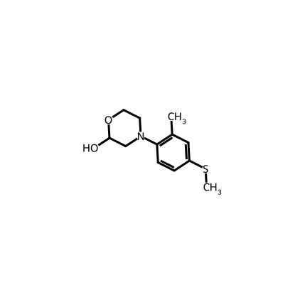 CSc1ccc(N2CCOC(O)C2)c(C)c1